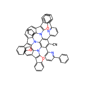 N#Cc1c(-c2cccc(-c3ccccc3)n2)c(-n2c3ccccc3c3c4ccccc4oc32)c(-n2c3ccccc3c3c4ccccc4oc32)c(-n2c3ccccc3c3c4ccccc4oc32)c1-c1cccc(-c2ccccc2)n1